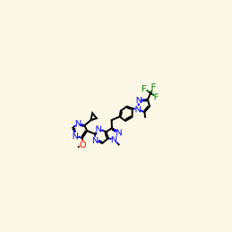 COc1ncnc(C2CC2)c1-c1ncc2c(n1)c(Cc1ccc(-n3nc(C(F)(F)F)cc3C)cc1)nn2C